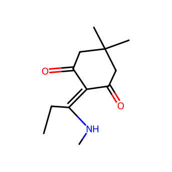 CCC(NC)=C1C(=O)CC(C)(C)CC1=O